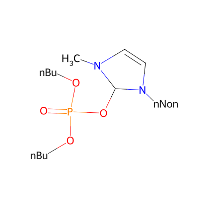 CCCCCCCCCN1C=CN(C)C1OP(=O)(OCCCC)OCCCC